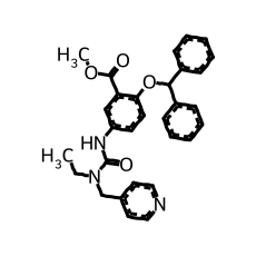 CCN(Cc1ccncc1)C(=O)Nc1ccc(OC(c2ccccc2)c2ccccc2)c(C(=O)OC)c1